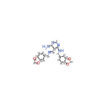 Nc1ncnc(NCc2ccc3c(c2)OCO3)c1C=NCc1ccc2c(c1)OCO2